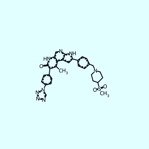 Cc1c(-c2ccc(-n3cnnn3)cc2)c(=O)[nH]c2cnc3[nH]c(-c4ccc(CN5CCC(S(C)(=O)=O)CC5)cc4)cc3c12